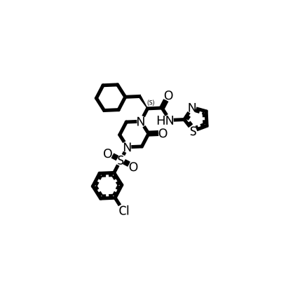 O=C(Nc1nccs1)[C@H](CC1CCCCC1)N1CCN(S(=O)(=O)c2cccc(Cl)c2)CC1=O